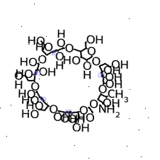 CC(O)C1OC(O)/C(O)=C(/O)C(CCO)OC2OC(CO)C(OC(O)/C(O)=C(\O)C(CCO)OC(O)/C(O)=C(\O)C(CCO)OC(O)/C(O)=C(/O)C(CCO)OC(O)/C(O)=C(/O)C(CCO)OC(CO)OC1CN)C(O)C2O